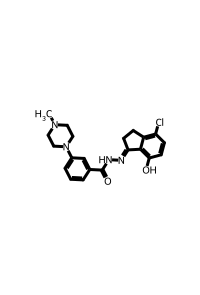 CN1CCN(c2cccc(C(=O)N/N=C3\CCc4c(Cl)ccc(O)c43)c2)CC1